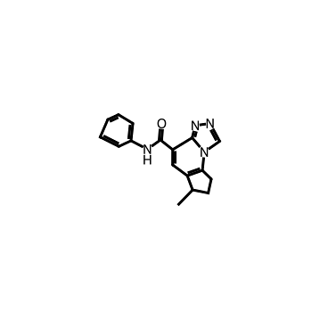 CC1CCc2c1cc(C(=O)Nc1ccccc1)c1nncn21